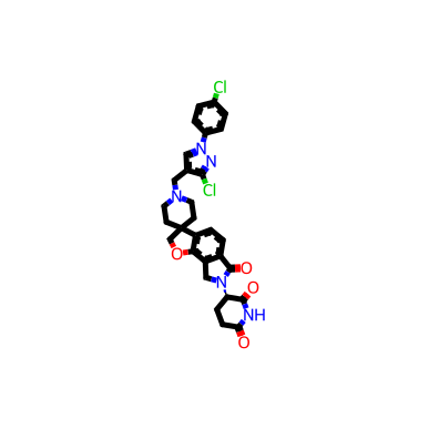 O=C1CC[C@H](N2Cc3c(ccc4c3OCC43CCN(Cc4cn(-c5ccc(Cl)cc5)nc4Cl)CC3)C2=O)C(=O)N1